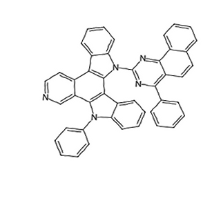 c1ccc(-c2nc(-n3c4ccccc4c4c5ccncc5c5c(c6ccccc6n5-c5ccccc5)c43)nc3c2ccc2ccccc23)cc1